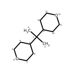 CC(C)(C1CCOCC1)C1CCOCC1